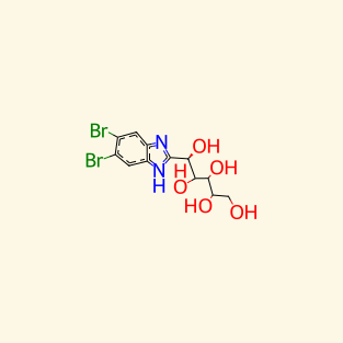 OCC(O)C(O)C(O)[C@H](O)c1nc2cc(Br)c(Br)cc2[nH]1